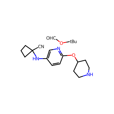 CC(C)(C)OC=O.N#CC1(Nc2ccc(OC3CCNCC3)nc2)CCC1